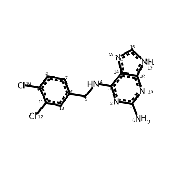 Nc1nc(NCc2ccc(Cl)c(Cl)c2)c2nc[nH]c2n1